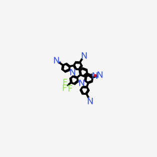 N#Cc1cccc(-c2c(-n3c4ccc(C#N)cc4c4cc(C#N)ccc43)cc(C(F)(F)F)cc2-n2c3ccc(C#N)cc3c3cc(C#N)ccc32)c1